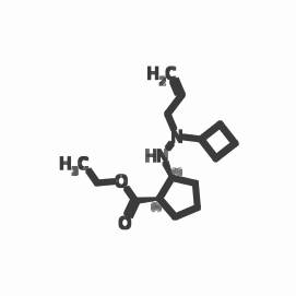 C=CCN(N[C@H]1CCC[C@H]1C(=O)OCC)C1CCC1